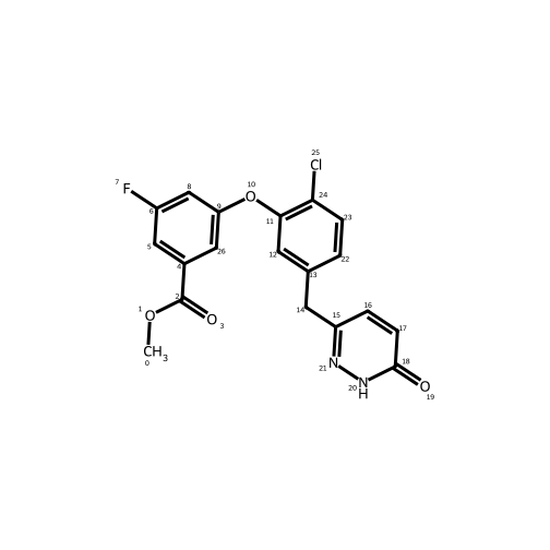 COC(=O)c1cc(F)cc(Oc2cc(Cc3ccc(=O)[nH]n3)ccc2Cl)c1